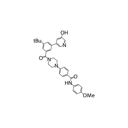 COc1ccc(NC(=O)c2ccc(N3CCN(C(=O)c4cc(-c5cncc(O)c5)cc(C(C)(C)C)c4)CC3)cc2)cc1